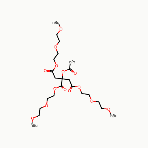 CCCCOCCOCCOC(=O)CC(CC(=O)OCCOCCOCCCC)(OC(=O)CCC)C(=O)OCCOCCOCCCC